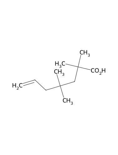 C=CCC(C)(C)CC(C)(C)C(=O)O